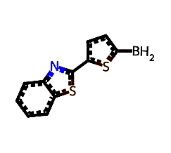 Bc1ccc(-c2nc3ccccc3s2)s1